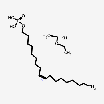 CCCCCCCC/C=C\CCCCCCCCOP(=O)(O)O.CCOCC.[KH]